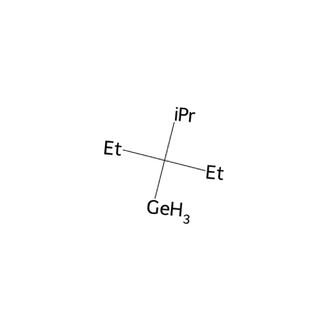 CC[C]([GeH3])(CC)C(C)C